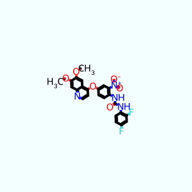 COc1cc2nccc(Oc3ccc(NC(=O)Nc4ccc(F)cc4F)c([N+](=O)[O-])c3)c2cc1OC